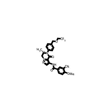 COc1ccc(C(=O)Nc2cnn3c2C(=O)N(c2ccc(COCC(F)(F)F)cc2)[C@@H](C)C3)cc1C#N